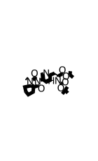 CC(C)OC(=O)[C@H](Cc1ccc(-n2c(=O)c3c(n(C)c2=O)CCCC3)cn1)NC(=O)OC(C)(C)C